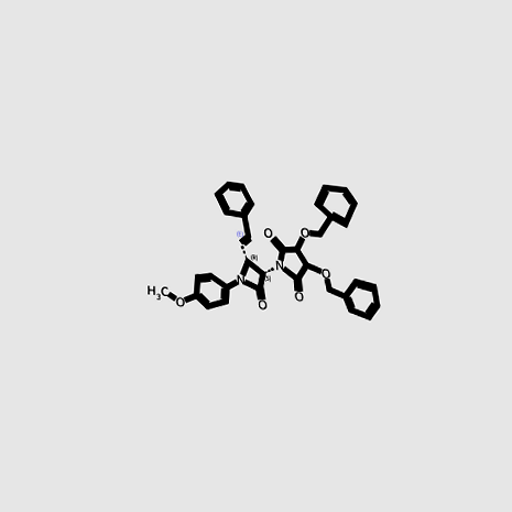 COc1ccc(N2C(=O)[C@@H](N3C(=O)C(OCc4ccccc4)C(OCc4ccccc4)C3=O)[C@H]2/C=C/c2ccccc2)cc1